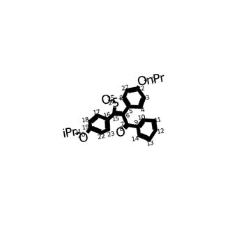 CCCOc1ccc2c(C(=O)c3ccccc3)c(-c3ccc(OC(C)C)cc3)[s+]([O-])c2c1